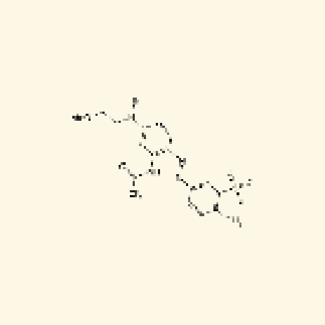 CCN(CCOC)c1ccc(N=Nc2ccc(C)c(S(=O)(=O)F)c2)c(NC(=O)C(F)(F)F)c1